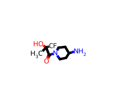 CC(O)(C(=O)N1CCC(N)CC1)C(F)(F)F